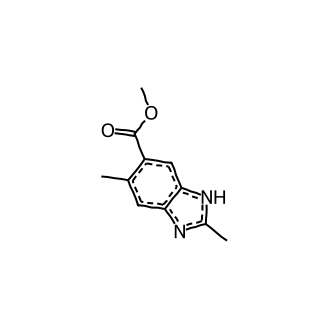 COC(=O)c1cc2[nH]c(C)nc2cc1C